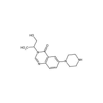 O=C(O)C(CO)n1cnc2ccc(N3CCNCC3)cc2c1=O